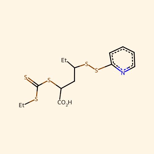 CCSC(=S)SC(CC(CC)SSc1ccccn1)C(=O)O